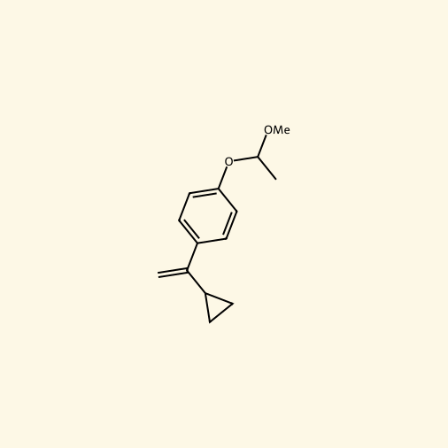 C=C(c1ccc(OC(C)OC)cc1)C1CC1